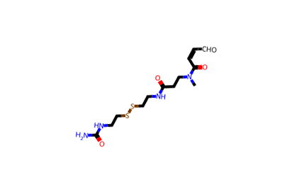 CN(CCC(=O)NCCSSCCNC(N)=O)C(=O)/C=C\C=O